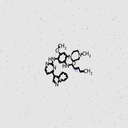 C=C/C=C/C(=O)Nc1cc(Nc2nccc(-c3cnn4ccccc34)n2)c(OC)cc1N1CCN(C)CC1